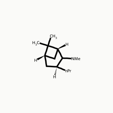 CCC[C@H]1C[C@H]2C[C@@H](C1NC)C2(C)C